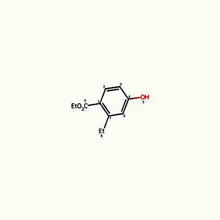 CCOC(=O)c1ccc(O)cc1CC